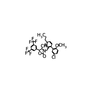 CCCc1ccc(-c2cc(Cl)ccc2OC)c(CN2C(=O)OC(c3cc(C(F)(F)F)cc(C(F)(F)F)c3)C2C)n1